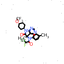 Cc1ccc(N(C(=O)[C@H](F)Cl)[C@@](C)(C(=O)N[C@H]2CC[C@@H](OC(F)(F)F)CC2)c2cncnc2)cc1